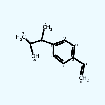 C=Cc1ccc(C(C)C(C)O)cc1